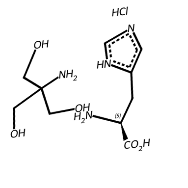 Cl.NC(CO)(CO)CO.N[C@@H](Cc1cnc[nH]1)C(=O)O